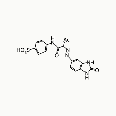 CC(=O)C(N=Nc1ccc2[nH]c(=O)[nH]c2c1)C(=O)Nc1ccc(S(=O)(=O)O)cc1